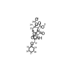 COC(=O)C1N2C(=O)C(NC(=O)COc3ccccc3)[C@@H]2SC[C@@]1(C)OC=O